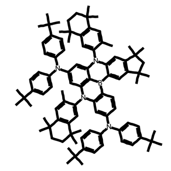 Cc1cc2c(cc1N1c3cc(N(c4ccc(C(C)(C)C)cc4)c4ccc(C(C)(C)C)cc4)ccc3B3c4cc5c(cc4N(c4cc6c(cc4C)C(C)(C)CCC6(C)C)c4cc(N(c6ccc(C(C)(C)C)cc6)c6ccc(C(C)(C)C)cc6)cc1c43)C(C)(C)CC5(C)C)C(C)(C)CCC2(C)C